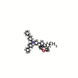 CC1C=CC2=C(C1)c1ccc(-c3ccc(N(c4ccc(-c5ccccc5)cc4)c4ccc(-c5ccccc5)cc4)cc3)cc1C21c2ccccc2Oc2ccccc21